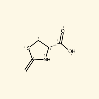 C=C1N[C@@H](C(=O)O)CS1